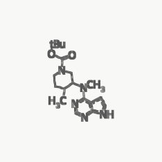 CC1CCN(C(=O)OC(C)(C)C)CC1N(C)c1ncnc2[nH]ccc12